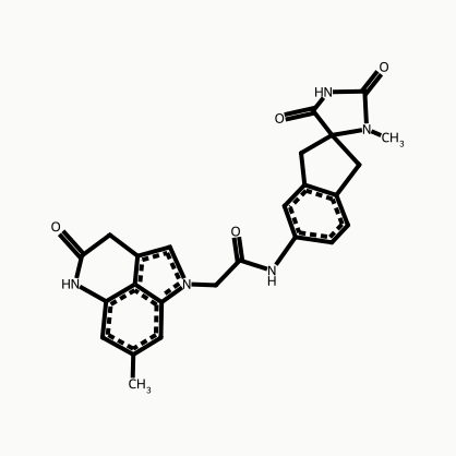 Cc1cc2c3c(cn(CC(=O)Nc4ccc5c(c4)CC4(C5)C(=O)NC(=O)N4C)c3c1)CC(=O)N2